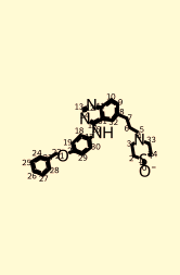 [O-][S+]1CCN(CCCc2ccc3ncnc(Nc4ccc(OCc5ccccc5)cc4)c3c2)CC1